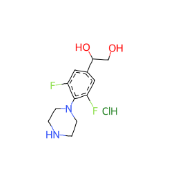 Cl.OCC(O)c1cc(F)c(N2CCNCC2)c(F)c1